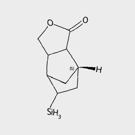 O=C1OCC2C3C[C@@H](CC3[SiH3])C12